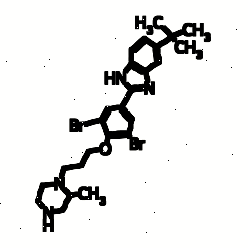 CC1CNCCN1CCCOc1c(Br)cc(-c2nc3cc(C(C)(C)C)ccc3[nH]2)cc1Br